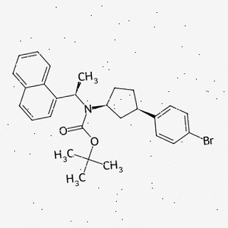 C[C@H](c1cccc2ccccc12)N(C(=O)OC(C)(C)C)[C@H]1CC[C@@H](c2ccc(Br)cc2)C1